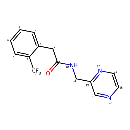 O=C(Cc1ccccc1C(F)(F)F)NCc1cnccn1